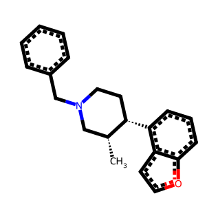 C[C@@H]1CN(Cc2ccccc2)CC[C@@H]1c1cccc2occc12